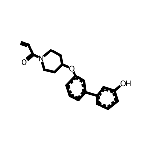 C=CC(=O)N1CCC(Oc2cccc(-c3cccc(O)c3)c2)CC1